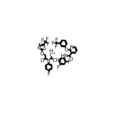 CC(C)N(C(=O)COc1nnc(C(F)(F)F)s1)c1ccc(F)cc1.O=C(Nc1ccc(F)cc1F)c1cccnc1Oc1cccc(C(F)(F)F)c1